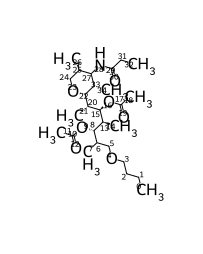 CCCCOCC(C)[C@H](OC(C)=O)[C@H](C)[C@H](OC(C)=O)[C@H](C)[C@@H]1OC[C@@H](C)C(NC(=O)CC)[C@@H]1C